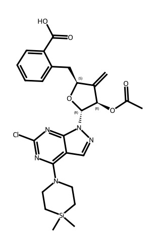 C=C1[C@H](Cc2ccccc2C(=O)O)O[C@@H](n2ncc3c(N4CC[Si](C)(C)CC4)nc(Cl)nc32)[C@@H]1OC(C)=O